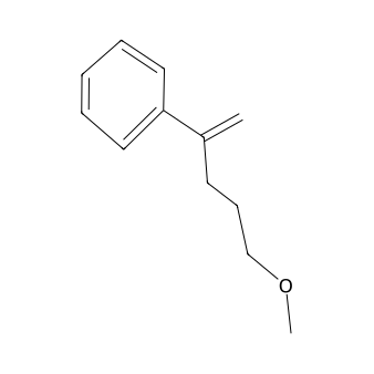 C=C(CCCOC)c1ccccc1